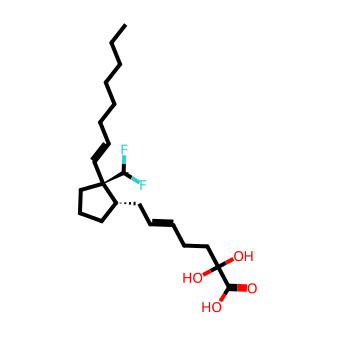 CCCCCCC=C[C@@]1([C](F)F)CCC[C@H]1CC=CCCC(O)(O)C(=O)O